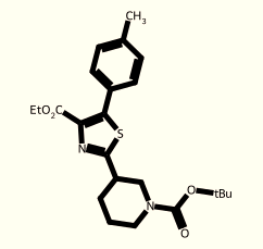 CCOC(=O)c1nc(C2CCCN(C(=O)OC(C)(C)C)C2)sc1-c1ccc(C)cc1